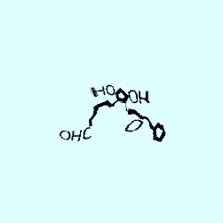 O=CCCC/C=C\C[C@@H]1[C@@H](/C=C/C(=O)CCc2ccccc2)[C@H](O)C[C@@H]1O